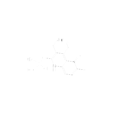 CC(C)Cc1c(O[Si](C)(C)C(C)(C)C)[nH]c2ccc(F)c(=O)c-2c1CC(F)(F)F